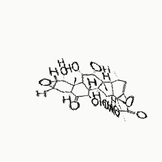 CC(=O)O[C@@H]1[C@H]2[C@H]3C([C@H](O)[C@H](O)[C@]2(C)[C@@H]2[C@@H]1[C@]1(C)C(=C[C@H]2C)OC(=O)[C@@]1(C)O)[C@]1(C)[C@H](C[C@@H]2O[C@@H]2[C@@H]1O)C(=O)[C@@H]3O